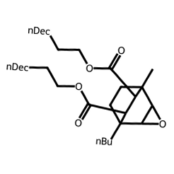 CCCCCCCCCCCCOC(=O)C1C(C(=O)OCCCCCCCCCCCC)C2(CCCC)CCC1(C)C1OC12